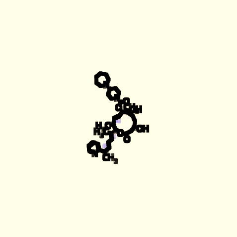 C/C(=C\C=C\[C@H](C)c1ccccn1)[C@H]1OC(=O)C[C@H](O)CC[C@@](C)(O)[C@@H](OC(=O)N2CCC(N3CCCCCC3)CC2)/C=C/[C@@H]1C